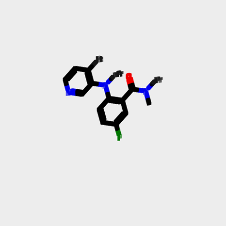 CCCN(c1cnccc1CC)c1ccc(F)cc1C(=O)N(C)C(C)C